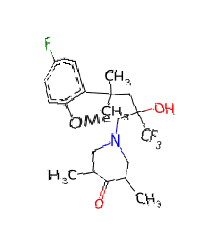 COc1ccc(F)cc1C(C)(C)CC(O)(CN1CC(C)C(=O)C(C)C1)C(F)(F)F